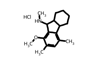 CNC1c2c(OC)c(C)cc(C)c2C2CCCCC21.Cl